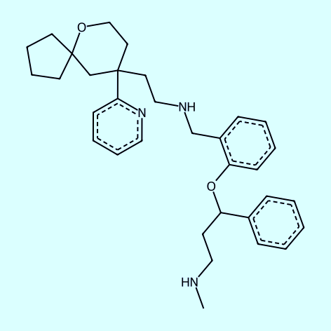 CNCCC(Oc1ccccc1CNCCC1(c2ccccn2)CCOC2(CCCC2)C1)c1ccccc1